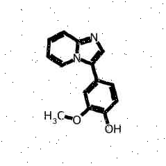 COc1cc(-c2cnc3ccccn23)ccc1O